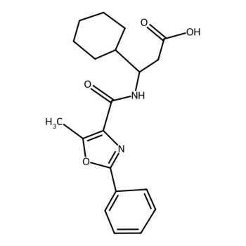 Cc1oc(-c2ccccc2)nc1C(=O)NC(CC(=O)O)C1CCCCC1